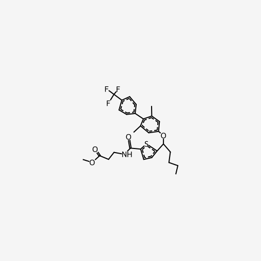 CCCCC(Oc1cc(C)c(-c2ccc(C(F)(F)F)cc2)c(C)c1)c1ccc(C(=O)NCCC(=O)OC)s1